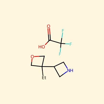 CCC1(C2CNC2)COC1.O=C(O)C(F)(F)F